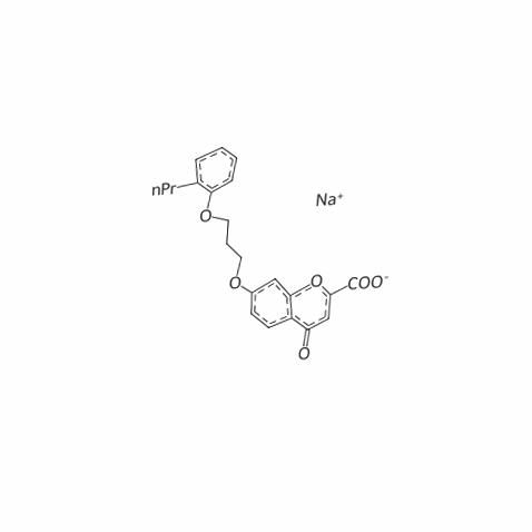 CCCc1ccccc1OCCCOc1ccc2c(=O)cc(C(=O)[O-])oc2c1.[Na+]